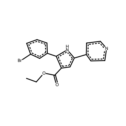 CCOC(=O)c1cc(-c2ccncc2)[nH]c1-c1cccc(Br)c1